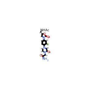 CC(=O)NC[C@H]1CN(c2ccc(N3CCN(CC(N)=O)C(=O)C3)c(F)c2)C(=O)O1